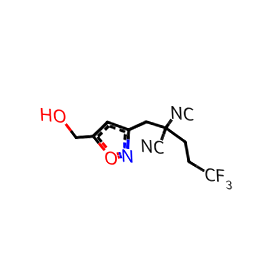 [C-]#[N+]C(C#N)(CCC(F)(F)F)Cc1cc(CO)on1